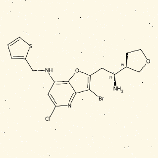 N[C@@H](Cc1oc2c(NCc3cccs3)cc(Cl)nc2c1Br)[C@H]1CCOC1